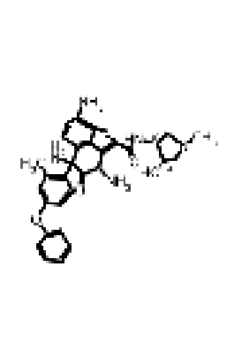 Cc1cc(Oc2ccccc2)ccc1C1(N)C(=O)C(N)c2c(C(=O)N[C@H]3CN(C)C[C@@H]3O)sc3c(N)ccc1c23